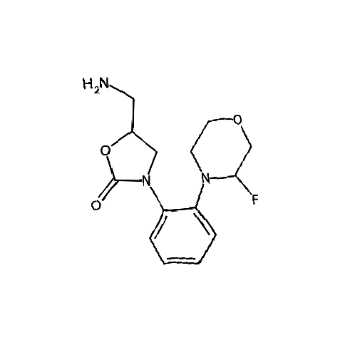 NCC1CN(c2ccccc2N2CCOCC2F)C(=O)O1